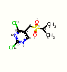 CC(C)S(=O)(=O)Cc1cnc(Cl)nc1Cl